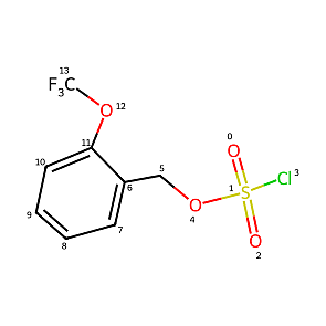 O=S(=O)(Cl)OCc1ccccc1OC(F)(F)F